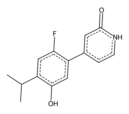 CC(C)c1cc(F)c(-c2cc[nH]c(=O)c2)cc1O